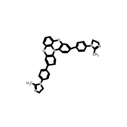 CC1=NCCN1c1ccc(-c2ccc3c(c2)Oc2cccc4c2B3c2ccc(-c3ccc(N5CCN=C5C)cc3)cc2O4)cc1